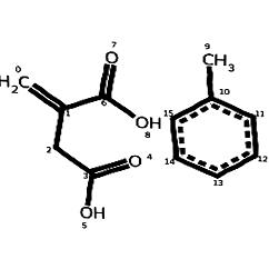 C=C(CC(=O)O)C(=O)O.Cc1ccccc1